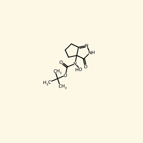 CC(C)(C)OC(=O)N(O)C12CCCC1=NNC2=O